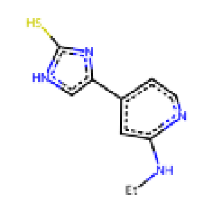 CCNc1cc(-c2c[nH]c(S)n2)ccn1